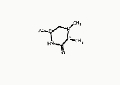 CC(=O)[C@H]1CN(C)[C@@H](C)C(=O)N1